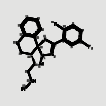 CC(=O)N1N=C(c2cc(F)ccc2F)S[C@@]12c1ccccc1OC[C@H]2CCNC(C)C